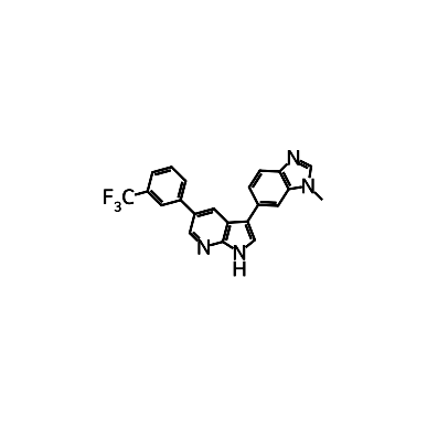 Cn1cnc2ccc(-c3c[nH]c4ncc(-c5cccc(C(F)(F)F)c5)cc34)cc21